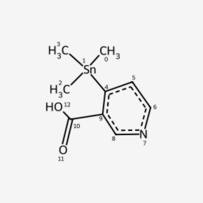 [CH3][Sn]([CH3])([CH3])[c]1ccncc1C(=O)O